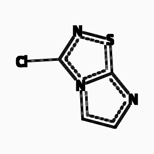 Clc1nsc2nccn12